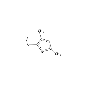 CCSc1nc(C)sc1C